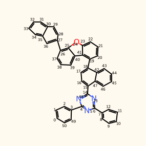 c1ccc(-c2nc(-c3ccccc3)nc(-c3ccc(-c4cccc5oc6c(-c7ccc8ccccc8c7)cccc6c45)c4ccccc34)n2)cc1